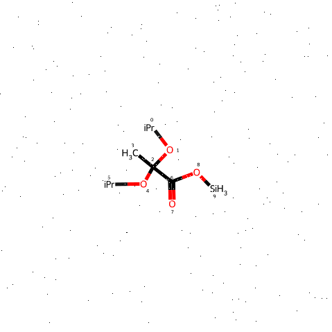 CC(C)OC(C)(OC(C)C)C(=O)O[SiH3]